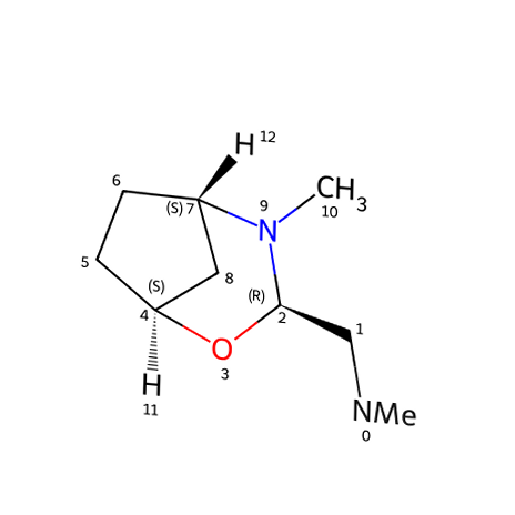 CNC[C@H]1O[C@H]2CC[C@@H](C2)N1C